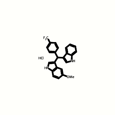 COc1ccc2[nH]cc([C](c3ccc(C(F)(F)F)cc3)c3c[nH]c4ccccc34)c2c1.Cl